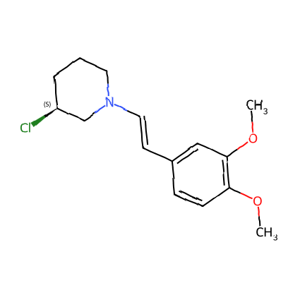 COc1ccc(C=CN2CCC[C@H](Cl)C2)cc1OC